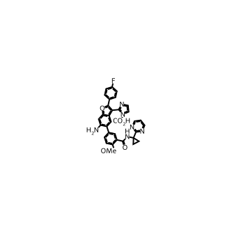 COc1ccc(-c2cc3c(-c4nccn4C(=O)O)c(-c4ccc(F)cc4)oc3cc2N)cc1C(=O)NC1(c2ncccn2)CC1